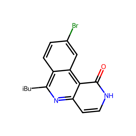 CCC(C)c1nc2cc[nH]c(=O)c2c2cc(Br)ccc12